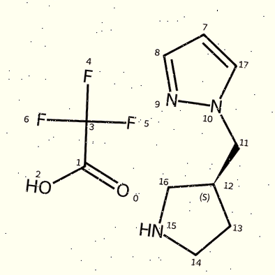 O=C(O)C(F)(F)F.c1cnn(C[C@H]2CCNC2)c1